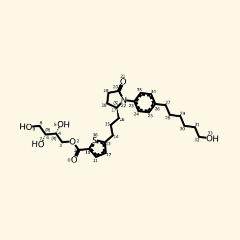 O=C(OC[C@@H](O)[C@H](O)CO)c1ccc(CCC[C@H]2CCC(=O)N2c2ccc(CCCCCCO)cc2)s1